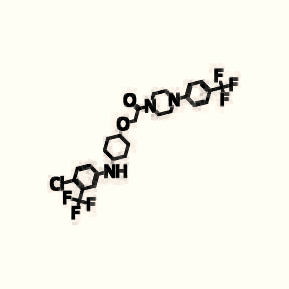 O=C(CO[C@H]1CC[C@@H](Nc2ccc(Cl)c(C(F)(F)F)c2)CC1)N1CCN(c2ccc(C(F)(F)F)cc2)CC1